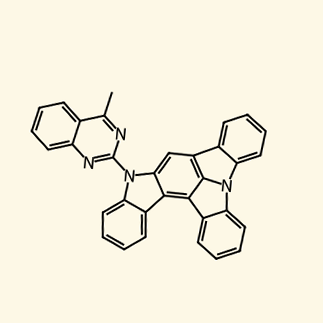 Cc1nc(-n2c3ccccc3c3c4c5ccccc5n5c6ccccc6c(cc32)c45)nc2ccccc12